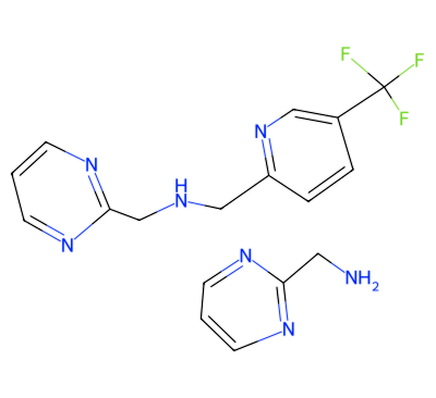 FC(F)(F)c1ccc(CNCc2ncccn2)nc1.NCc1ncccn1